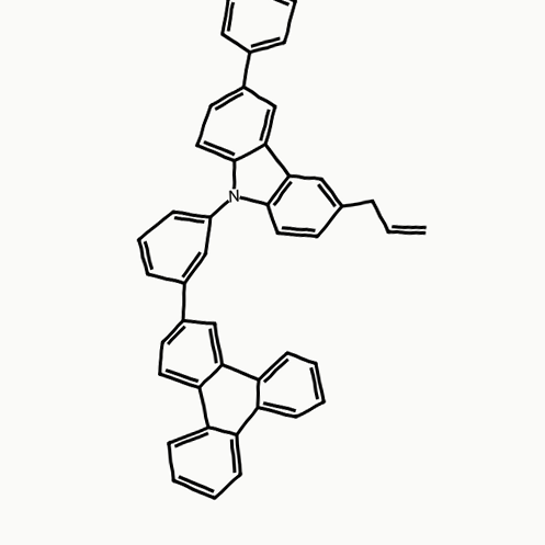 C=CCc1ccc2c(c1)c1cc(-c3ccccc3)ccc1n2-c1cccc(-c2ccc3c4ccccc4c4ccccc4c3c2)c1